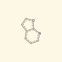 [c]1ccc2ccoc2n1